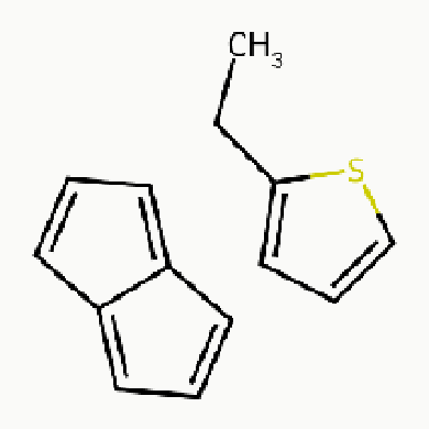 C1=CC2=CC=CC2=C1.CCc1cccs1